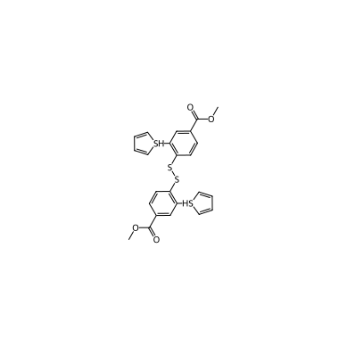 COC(=O)c1ccc(SSc2ccc(C(=O)OC)cc2[SH]2C=CC=C2)c([SH]2C=CC=C2)c1